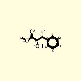 COC(=O)[C@@H](O)[C@H](C)c1ccccc1